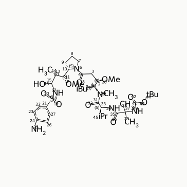 CC[C@H](C)[C@@H]([C@@H](CC(=O)N1CCC[C@H]1[C@H](OC)[C@@H](C)C(O)NS(=O)(=O)c1ccc(N)cc1)OC)N(C)C(=O)[C@@H](NC(=O)C(C)(C)NC(=O)OC(C)(C)C)C(C)C